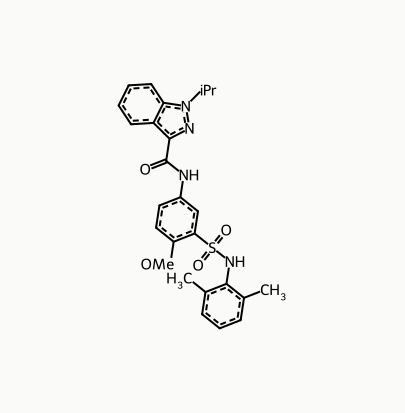 COc1ccc(NC(=O)c2nn(C(C)C)c3ccccc23)cc1S(=O)(=O)Nc1c(C)cccc1C